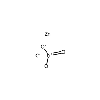 O=[N+]([O-])[O-].[K+].[Zn]